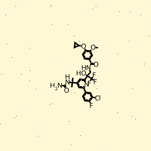 COc1cc(C(=O)NCC(O)(c2cc(C(C)(C)NC(N)=O)cc(-c3ccc(F)c(Cl)c3)n2)C(F)(F)F)ccc1OC1CC1